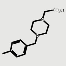 CCOC(=O)CN1CCN(Cc2ccc(C)cc2)CC1